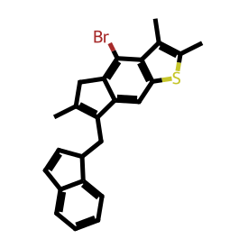 CC1=C(CC2C=Cc3ccccc32)c2cc3sc(C)c(C)c3c(Br)c2C1